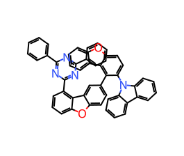 c1ccc(-c2nc(-c3ccccc3)nc(-c3cccc4oc5ccc(-c6c(-n7c8ccccc8c8ccccc87)ccc7oc8ccccc8c67)cc5c34)n2)cc1